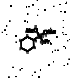 CCC[Si](OC)(OC)C1CCCCC1